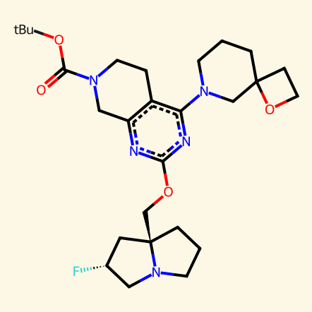 CC(C)(C)OC(=O)N1CCc2c(nc(OC[C@@]34CCCN3C[C@H](F)C4)nc2N2CCCC3(CCO3)C2)C1